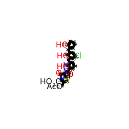 CC(=O)OCC1=C(C(=O)O)N2C(=O)[C@@H](NC(=O)c3cccc(Cc4cc(Cl)cc(Cc5ccccc5O)c4O)c3O)[C@H]2SC1